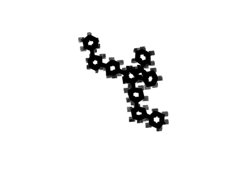 c1ccc(-c2cccc(-c3ccc(-c4nc(-c5ccc(-c6cccc(-c7ccccc7)c6)cc5)c5c6ccccc6n(-c6ccccc6)c5n4)cc3)c2)cc1